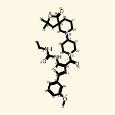 CCNC(=O)Nc1sc(-c2cccc(OC)c2)cc1C(=O)N1CCC(N2CCCC3(C2)CC(C)(C)OC3=O)CC1